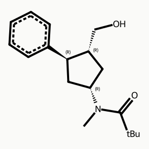 CN(C(=O)C(C)(C)C)[C@H]1C[C@@H](CO)[C@H](c2ccccc2)C1